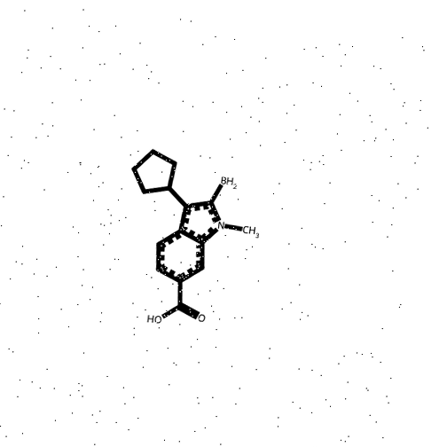 Bc1c(C2CCCC2)c2ccc(C(=O)O)cc2n1C